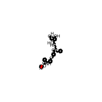 O=C(N[C@@H](c1ccccc1)c1cccc(OCc2ccc(C(=O)N(CCCNCC(O)c3ccc(O)c4[nH]c(=O)ccc34)Cc3ccccc3)cc2)c1)OC1CN2CCC1CC2